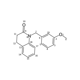 COc1cccc(CN2C(=O)CCc3ccccc32)c1